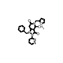 Cc1c2c(=O)n(-c3cccnn3)n(Cc3ccccc3)c2cc(=O)n1Cc1ccco1